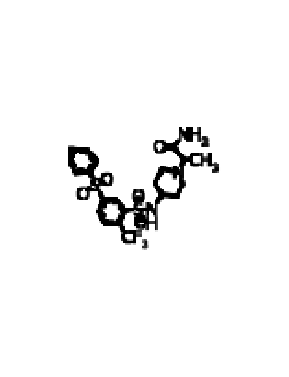 C[C@H](C(N)=O)N1CCC(NS(=O)(=O)c2cc(S(=O)(=O)c3ccccc3)ccc2C(F)(F)F)CC1